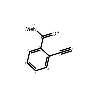 [C]#Cc1ccccc1C(=O)NC